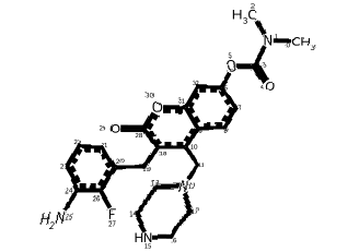 CN(C)C(=O)Oc1ccc2c(CN3CCNCC3)c(Cc3cccc(N)c3F)c(=O)oc2c1